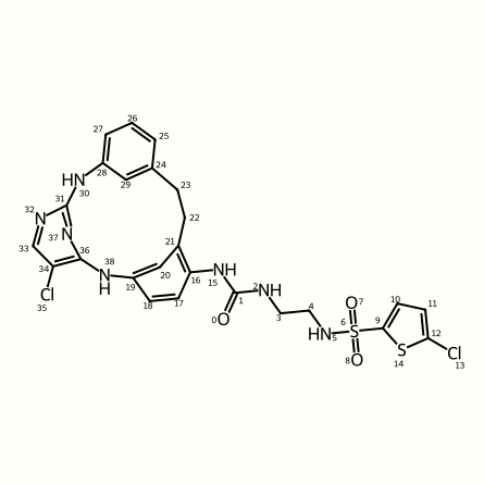 O=C(NCCNS(=O)(=O)c1ccc(Cl)s1)Nc1ccc2cc1CCc1cccc(c1)Nc1ncc(Cl)c(n1)N2